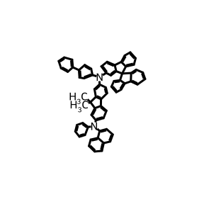 CC1(C)c2cc(N(c3ccc(-c4ccccc4)cc3)c3ccc4c(c3)C3(c5ccccc5-c5ccccc53)c3ccccc3-4)ccc2-c2ccc(N(c3ccccc3)c3cccc4ccccc34)cc21